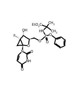 CCOC(=O)C(C)(C)NP(=O)(OC[C@H]1O[C@]2(n3ccc(=O)[nH]c3=O)C[C@@]2(F)[C@@H]1O)Oc1ccccc1